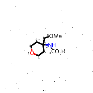 COCC1(NC(=O)O)CCOCC1